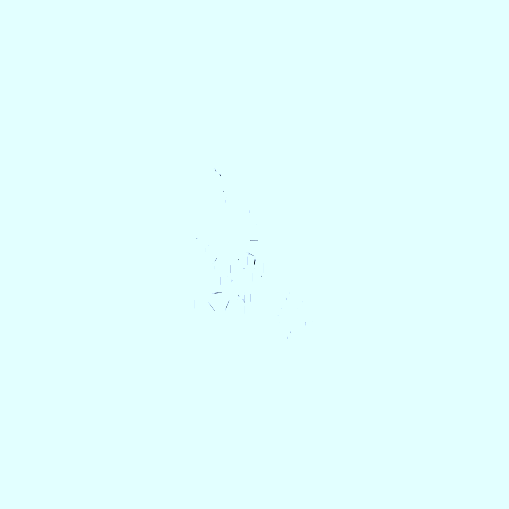 CC[C@H]1CCC[C@H](O[C@H]2CCCC(C)(CN(C)C)O2)[C@@H](C)C(=O)C2=C[C@H]3[C@@H]4C[C@H](O[C@@H]5OC(C)[C@H](OC)C(OC)C5OC)C[C@H]4[C@H](Nc4ccc(F)cc4)[C@@H](O)[C@H]3[C@@H]2CC(=O)O1